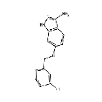 Nc1n[nH]c2cc(OCc3cccc(Cl)c3)ccc12